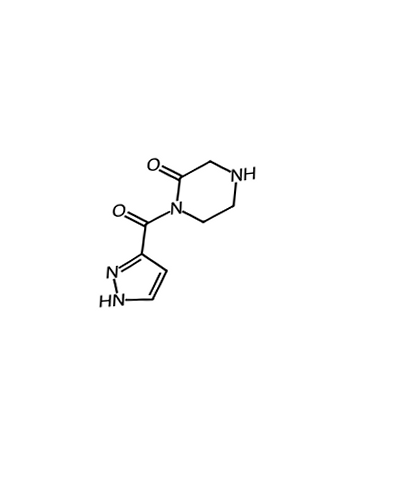 O=C1CNCCN1C(=O)c1cc[nH]n1